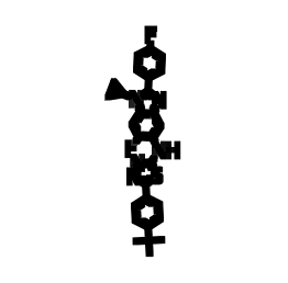 CC(C)(C)c1ccc(-c2nnc(Nc3cc4nc(-c5ccc(F)cc5)n(C5CC5)c4cc3F)s2)cc1